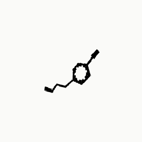 C#Cc1ccc(CCC=C)cc1